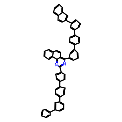 c1ccc(-c2cccc(-c3ccc(-c4ccc(-c5nc(-c6cccc(-c7ccc(-c8cccc(-c9ccc%10ccccc%10c9)c8)cc7)c6)c6ccc7ccccc7c6n5)cc4)cc3)c2)cc1